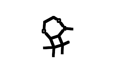 CB1OCCOC2C1C(C)(C)C2(C)C